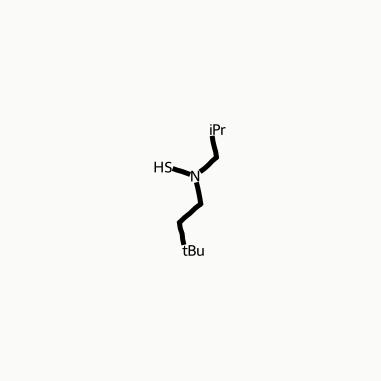 CC(C)CN(S)CCC(C)(C)C